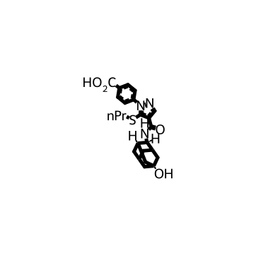 CCCSc1c(C(=O)N[C@H]2C3CC4C[C@@H]2C[C@](O)(C4)C3)cnn1-c1ccc(C(=O)O)cc1